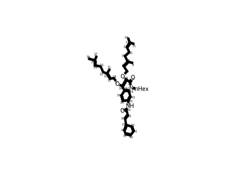 CCCCCCn1c(=O)c(OC/C=C(\C)CCC=C(C)C)c(OC/C=C(\C)CCC=C(C)C)c2ccc(NC(=O)/C=C/c3ccccc3)cc21